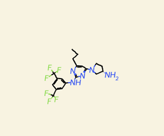 CCCc1cc(N2CC[C@H](N)C2)nc(Nc2cc(C(F)(F)F)cc(C(F)(F)F)c2)n1